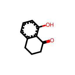 O=C1CCCc2cccc(O)c21